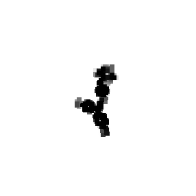 CCO[C@@H](Cc1ccc(OCC=C(c2ccc(OC)cc2)c2ccc(OC)cc2)cc1)C(=O)O